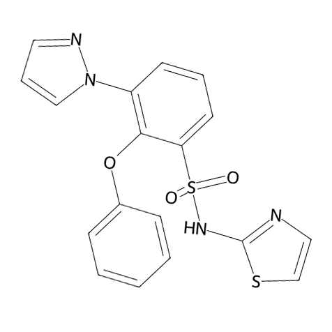 O=S(=O)(Nc1nccs1)c1cccc(-n2cccn2)c1Oc1ccccc1